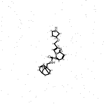 O=C(NCC12CC3CC(CC(C3)C1)C2)c1cccc2nc(COC3CCNC3)cn12